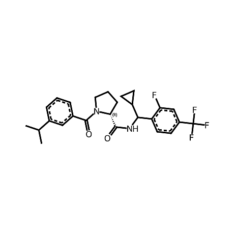 CC(C)c1cccc(C(=O)N2CCC[C@@H]2C(=O)NC(c2ccc(C(F)(F)F)cc2F)C2CC2)c1